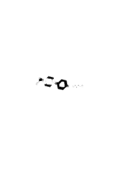 COc1ccc(N2CCN([C](=O)[Fe])CC2)cc1